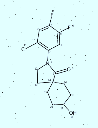 O=C1N(c2cc(F)c(F)cc2Cl)CCC12CCC(O)CC2